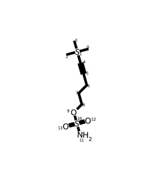 CS(C)(C)C#CCCCOS(N)(=O)=O